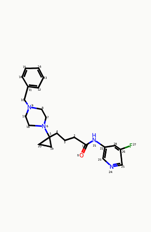 O=C(CCCC1(N2CCN(Cc3ccccc3)CC2)CC1)Nc1cncc(F)c1